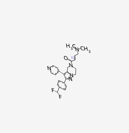 CN(C)C/C=C/C(=O)N1CCn2nc(-c3ccc(C(F)F)cc3)c(-c3ccncc3)c2C1